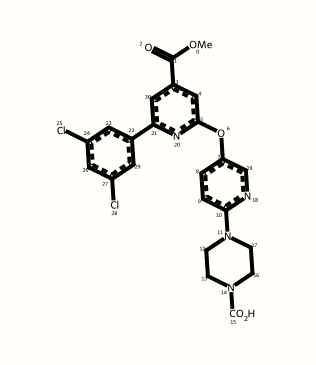 COC(=O)c1cc(Oc2ccc(N3CCN(C(=O)O)CC3)nc2)nc(-c2cc(Cl)cc(Cl)c2)c1